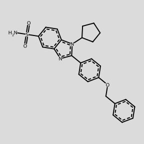 NS(=O)(=O)c1ccc2c(c1)nc(-c1ccc(OCc3ccccc3)cc1)n2C1CCCC1